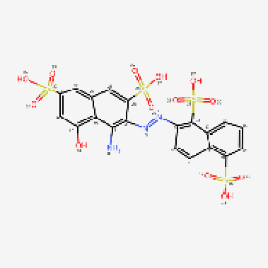 Nc1c(/N=N/c2ccc3c(S(=O)(=O)O)cccc3c2S(=O)(=O)O)c(S(=O)(=O)O)cc2cc(S(=O)(=O)O)cc(O)c12